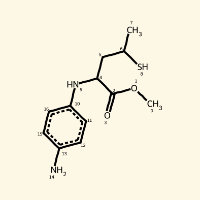 COC(=O)C(CC(C)S)Nc1ccc(N)cc1